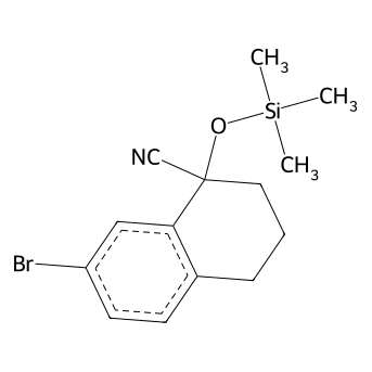 C[Si](C)(C)OC1(C#N)CCCc2ccc(Br)cc21